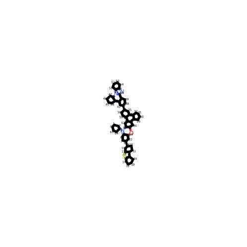 c1ccc(N2c3ccc(-c4ccc5c(c4)sc4ccccc45)cc3Oc3cc4c5ccccc5c5cc(-c6ccc7c(c6)c6ccccc6n6c8ccccc8nc76)ccc5c4cc32)cc1